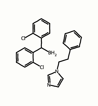 BC(c1ccccc1Cl)c1ccccc1Cl.c1ccc(CCn2ccnc2)cc1